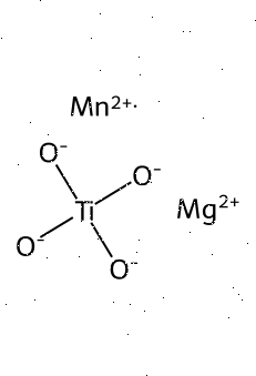 [Mg+2].[Mn+2].[O-][Ti]([O-])([O-])[O-]